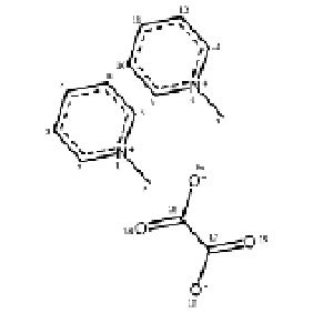 C[n+]1ccccc1.C[n+]1ccccc1.O=C([O-])C(=O)[O-]